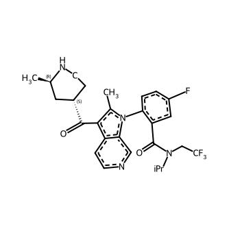 Cc1c(C(=O)[C@H]2CCN[C@H](C)C2)c2ccncc2n1-c1ccc(F)cc1C(=O)N(CC(F)(F)F)C(C)C